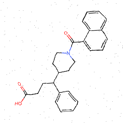 O=C(O)CCC(c1ccccc1)C1CCN(C(=O)c2cccc3ccccc23)CC1